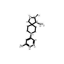 [2H]c1cc(N2CCC3(CC2)CO[C@@H](C)[C@H]3N)cnn1